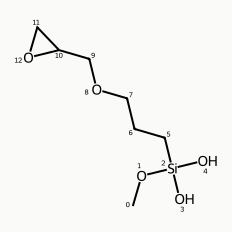 CO[Si](O)(O)CCCOCC1CO1